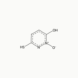 [O-][n+]1nc(S)ccc1O